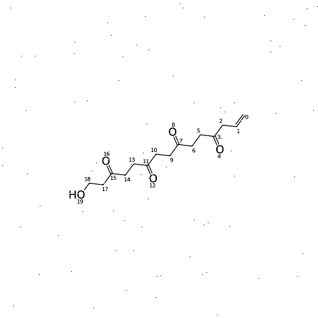 C=CCC(=O)CCC(=O)CCC(=O)CCC(=O)CCO